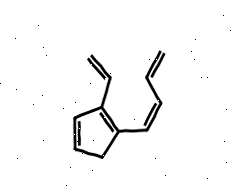 C=C/C=C\C1=C(C=C)C=CC1